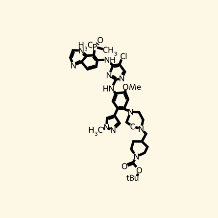 COc1cc(N2CCN(CC3CCN(C(=O)OC(C)(C)C)CC3)CC2)c(-c2cnn(C)c2)cc1Nc1ncc(Cl)c(Nc2ccc3nccnc3c2P(C)(C)=O)n1